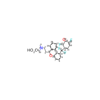 CN(CCC(Oc1cccc(C(F)(F)C2=CC=C(F)C(=O)C2F)c1)c1ccccc1)CC(=O)O